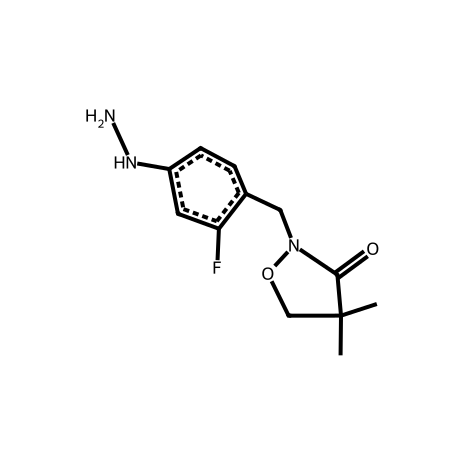 CC1(C)CON(Cc2ccc(NN)cc2F)C1=O